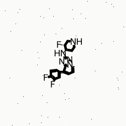 Fc1ccc(-c2cccn3nc(N[C@H]4CCNC[C@H]4F)nc23)cc1F